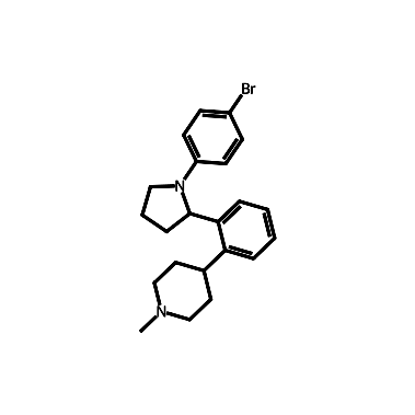 CN1CCC(c2ccccc2C2CCCN2c2ccc(Br)cc2)CC1